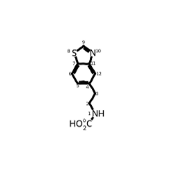 O=C(O)NCCc1ccc2scnc2c1